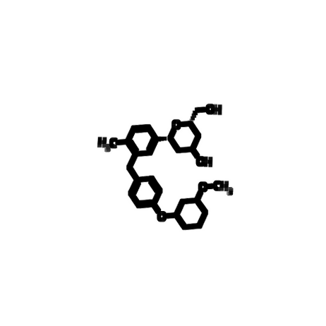 COC1CCCC(Oc2ccc(Cc3cc([C@H]4CC(O)C[C@@H](CO)O4)ccc3C)cc2)C1